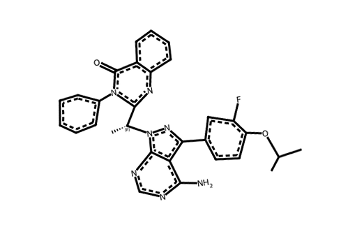 CC(C)Oc1ccc(-c2nn([C@H](C)c3nc4ccccc4c(=O)n3-c3ccccc3)c3ncnc(N)c23)cc1F